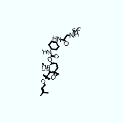 COB1C(OC(=O)N[C@H]2CC[C@H](NC(=O)CNSF)CC2)CCC2(CO2)C1C(C)(C)OCC=C(C)C